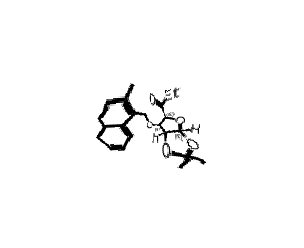 CCC(=O)[C@H]1O[C@@H]2OC(C)(C)O[C@@H]2[C@H]1OCc1c(C)ccc2ccccc12